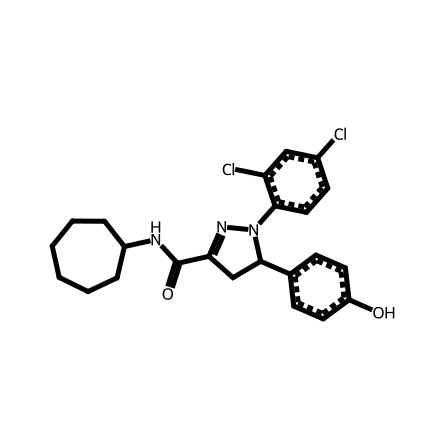 O=C(NC1CCCCCC1)C1=NN(c2ccc(Cl)cc2Cl)C(c2ccc(O)cc2)C1